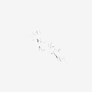 CC(C)C1(O)CN(C2=NC=CC(Oc3ccc(N)c(F)c3)C2)C1